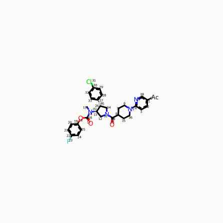 CC(=O)c1ccc(N2CCC(C(=O)N3C[C@@H](N(C)C(=O)Oc4ccc(F)cc4)[C@H](c4ccc(Cl)cc4)C3)CC2)nc1